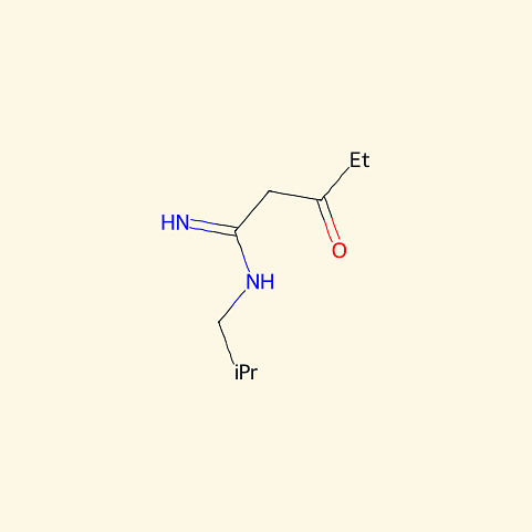 CCC(=O)CC(=N)NCC(C)C